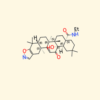 CCNC(=O)[C@]12CCC(C)(C)C[C@H]1[C@@]1(O)C(=O)C=C3[C@@]4(C)Cc5cnoc5C(C)(C)[C@@H]4CC[C@@]3(C)[C@]1(C)CC2